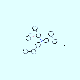 c1ccc(-c2cccc(-c3ccc(N(c4ccc(-c5ccccc5-c5ccccc5)cc4)c4ccc(-c5ccccc5-c5cc6ccccc6o5)cc4)cc3)c2)cc1